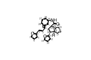 O=C(/C=C/c1ccco1)[C@H]1[C@H](c2ccco2)[C@H]2CSCN2[C@]12C(=O)Nc1ccccc12